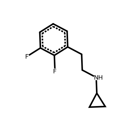 Fc1cccc(CCNC2CC2)c1F